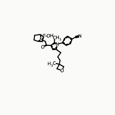 Cc1c(C(=O)CN2C3CCC2[C@H](O)C3)cc(CCCC2(C)COC2)n1-c1ccc(C#N)cc1